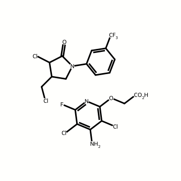 Nc1c(Cl)c(F)nc(OCC(=O)O)c1Cl.O=C1C(Cl)C(CCl)CN1c1cccc(C(F)(F)F)c1